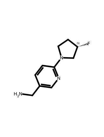 NCc1ccc(N2CC[C@H](F)C2)nc1